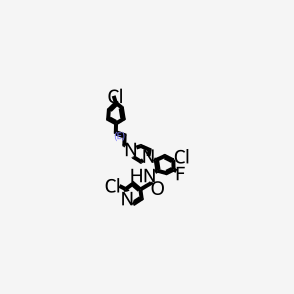 O=C(Nc1cc(F)c(Cl)cc1N1CCN(C/C=C/c2ccc(Cl)cc2)CC1)c1ccnc(Cl)c1